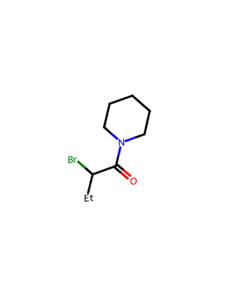 CCC(Br)C(=O)N1CCCCC1